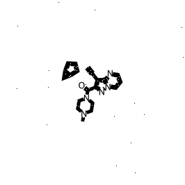 C#Cc1c(C(=O)N2CCN(C)CC2)nn2cccnc12.c1cc2cc-2c1